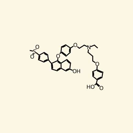 CCN(CCCOc1ccc(C(=O)O)cc1)CCOc1ccc(Oc2c(-c3ccc(S(C)(=O)=O)cc3)ccc3cc(O)ccc23)cc1